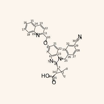 CC1(C)[C@H](c2nc3cc(OCc4ccc5ccccc5n4)ccc3n2Cc2ccc(C#N)cc2)[C@@H]1C(=O)O